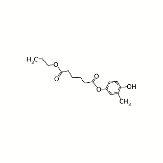 CCCOC(=O)CCCCC(=O)Oc1ccc(O)c(C)c1